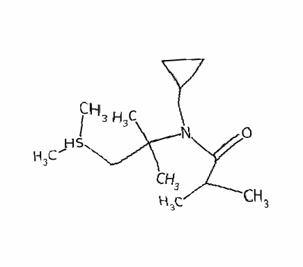 CC(C)C(=O)N(C1CC1)C(C)(C)C[SH](C)C